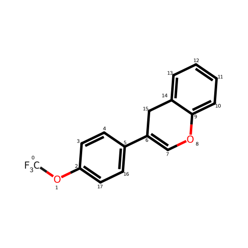 FC(F)(F)Oc1ccc(C2=COc3ccccc3C2)cc1